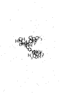 CCn1cc(-c2ccc(C[C@@H](CNC(=O)CNC)NC(=O)c3ccc(O[C@H](C)C(F)(F)F)c(Cl)c3)cc2)nc1C(C)(C)O